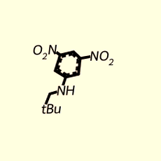 CC(C)(C)CNc1cc([N+](=O)[O-])cc([N+](=O)[O-])c1